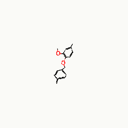 COc1cc(C)ccc1OCc1ccc(C)cc1